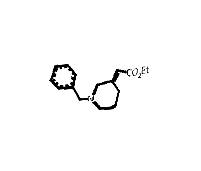 CCOC(=O)C=C1CCCN(Cc2ccccc2)C1